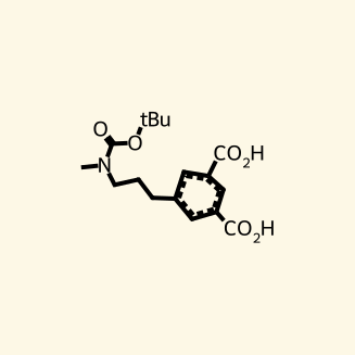 CN(CCCc1cc(C(=O)O)cc(C(=O)O)c1)C(=O)OC(C)(C)C